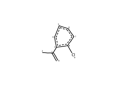 C=C(C)c1cc[c]cc1Cl